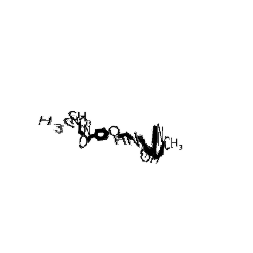 Cc1ccc([C@H](O)CNCCOc2ccc(-c3coc(CC(=O)N(C)C)n3)cc2)cn1